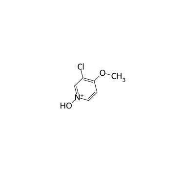 COc1cc[n+](O)cc1Cl